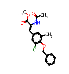 COC(=O)C(=Cc1cc(C)c(OCc2ccccc2)c(Cl)c1)NC(C)=O